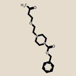 CC(=O)CCOCCN1CCN(C(=O)OCc2ccccc2)CC1